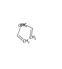 C=CC.C=C[C]=O